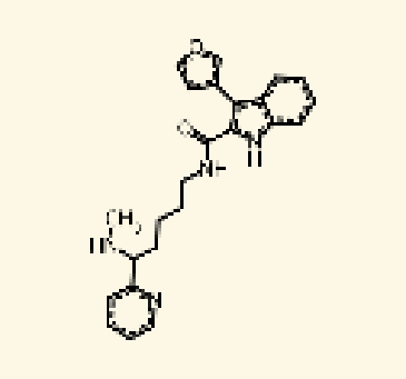 CNC(CCCCNC(=O)c1[nH]c2ccccc2c1-c1ccoc1)c1ccccn1